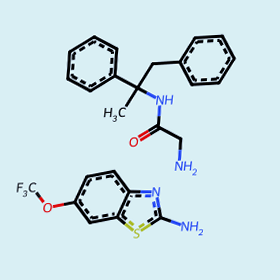 CC(Cc1ccccc1)(NC(=O)CN)c1ccccc1.Nc1nc2ccc(OC(F)(F)F)cc2s1